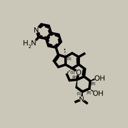 CC1=C2C=C3[C@@H](O)[C@H](O)[C@@H](N(C)C)C[C@]34CC[C@]2(O4)C2CC=C(c3ccc4ccnc(N)c4c3)[C@@]2(C)C1